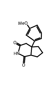 COc1cccc(C23CCCC2C(=O)NC(=O)C3)c1